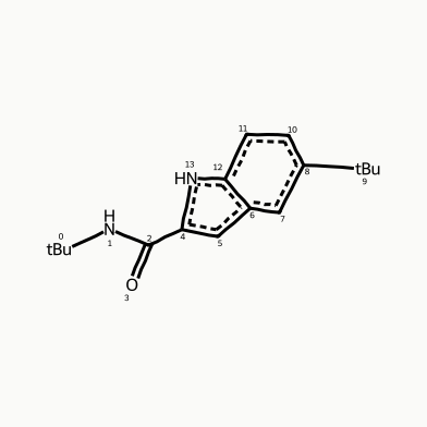 CC(C)(C)NC(=O)c1cc2cc(C(C)(C)C)ccc2[nH]1